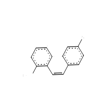 Nc1ccc(/C=C\c2ccccc2S(=O)(=O)O)cc1